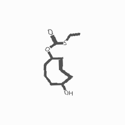 CCSC(=O)OC1/C=C/CC(O)CCC1